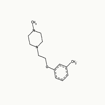 [CH2]c1cccc(OCCN2CCN(C)CC2)c1